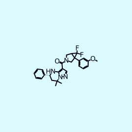 COc1cccc(C23CN(C(=O)c4cnn5c4N[C@@H](c4ccccc4)CC5(C)C)CC2C3(F)F)c1